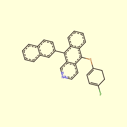 FC1=CC=C(Sc2c3ccccc3c(-c3ccc4ccccc4c3)c3cnccc23)CC1